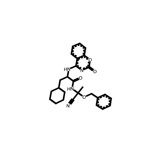 CC(C#N)(NC(=O)C(CC1CCCCC1)Nc1nc(=O)oc2ccccc12)OCc1ccccc1